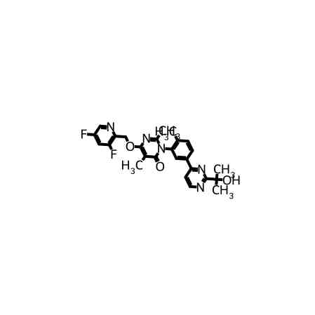 Cc1ccc(-c2ccnc(C(C)(C)O)n2)cc1-n1c(C)nc(OCc2ncc(F)cc2F)c(C)c1=O